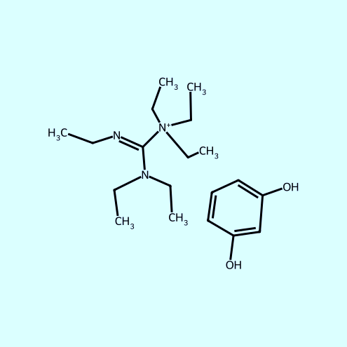 CC/N=C(\N(CC)CC)[N+](CC)(CC)CC.Oc1cccc(O)c1